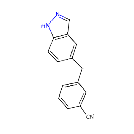 N#Cc1cccc([CH]c2ccc3[nH]ncc3c2)c1